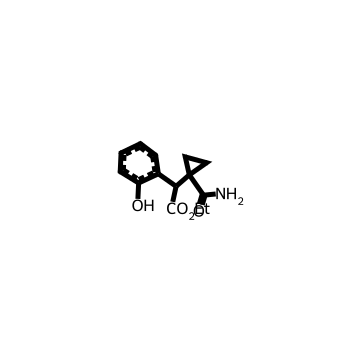 CCOC(=O)C(c1ccccc1O)C1(C(N)=O)CC1